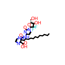 CCCCCCCCCCCCC1(C(=O)Nc2ccn([C@@H]3O[C@H](CO)[C@@H](O)C3(F)F)c(=O)n2)NC=CN=C1C(=O)O